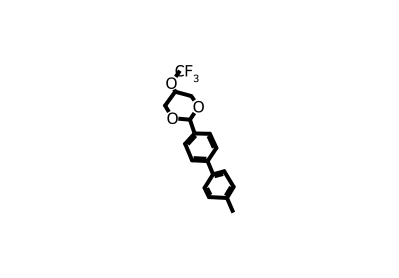 Cc1ccc(-c2ccc(C3OCC(OC(F)(F)F)CO3)cc2)cc1